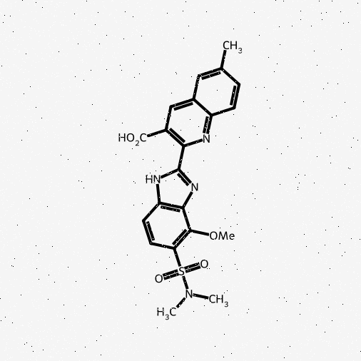 COc1c(S(=O)(=O)N(C)C)ccc2[nH]c(-c3nc4ccc(C)cc4cc3C(=O)O)nc12